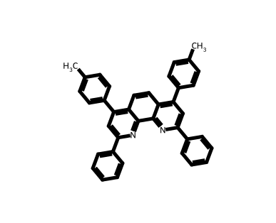 Cc1ccc(-c2cc(-c3ccccc3)nc3c2ccc2c(-c4ccc(C)cc4)cc(-c4ccccc4)nc23)cc1